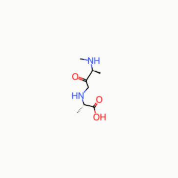 CN[C@@H](C)C(=O)CN[C@@H](C)C(=O)O